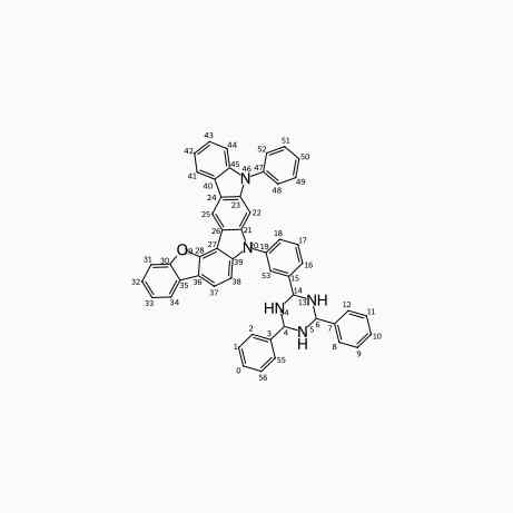 c1ccc(C2NC(c3ccccc3)NC(c3cccc(-n4c5cc6c(cc5c5c7oc8ccccc8c7ccc54)c4ccccc4n6-c4ccccc4)c3)N2)cc1